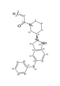 C=CC(=O)N1CCC[C@@H](N2Cc3cc(Sc4ccccc4)ccc3N2)C1